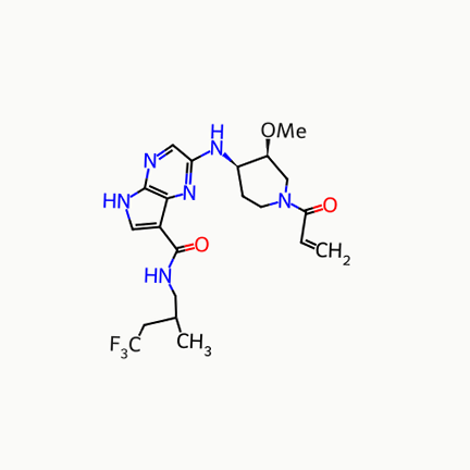 C=CC(=O)N1CC[C@@H](Nc2cnc3[nH]cc(C(=O)NCC(C)CC(F)(F)F)c3n2)[C@@H](OC)C1